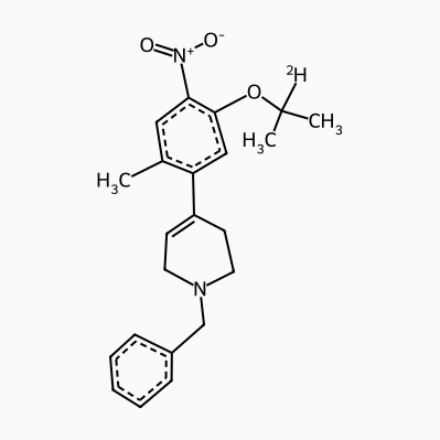 [2H]C(C)(C)Oc1cc(C2=CCN(Cc3ccccc3)CC2)c(C)cc1[N+](=O)[O-]